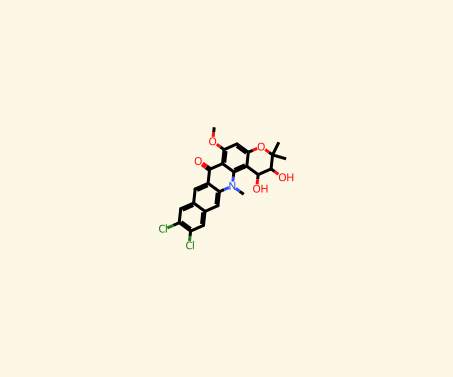 COc1cc2c(c3c1c(=O)c1cc4cc(Cl)c(Cl)cc4cc1n3C)C(O)C(O)C(C)(C)O2